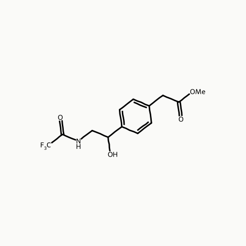 COC(=O)Cc1ccc(C(O)CNC(=O)C(F)(F)F)cc1